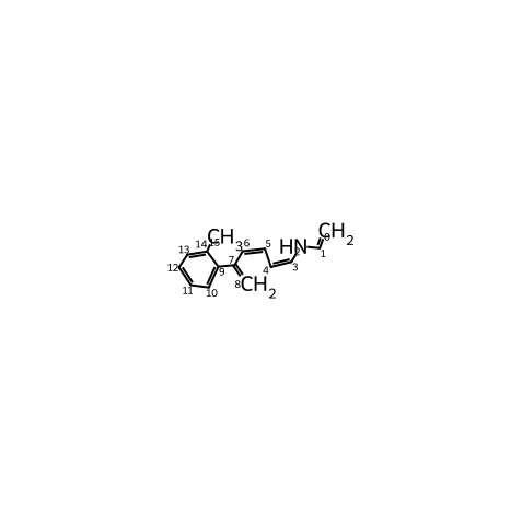 C=CN/C=C\C=C/C(=C)c1ccccc1C